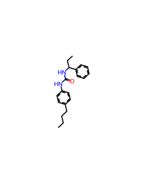 CCCCc1ccc(NC(=O)NC(CC)c2ccccc2)cc1